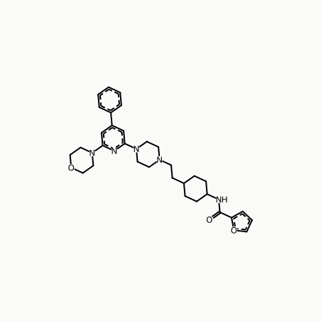 O=C(NC1CCC(CCN2CCN(c3cc(-c4ccccc4)cc(N4CCOCC4)n3)CC2)CC1)c1ccco1